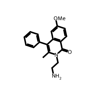 COc1ccc2c(=O)n(CCN)c(C)c(-c3ccccc3)c2c1